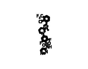 CN(C)[C@@]1(CCc2cccc(C(F)(F)F)c2Cl)CCCN(c2cc(F)c(S(=O)(=O)Nc3ccncn3)c(F)c2)C1